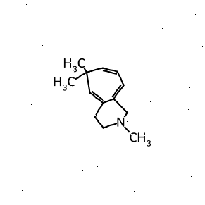 CN1CCC2=CC(C)(C)C=CC=C2C1